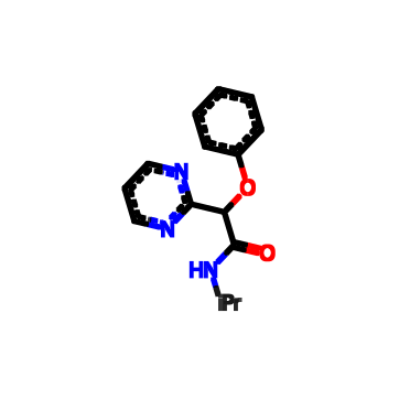 CC(C)NC(=O)C(Oc1ccccc1)c1ncccn1